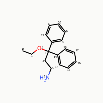 CCOC(CCN)(c1ccccc1)c1ccccc1